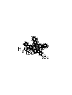 CC(C)(C)c1ccc2c(c1)c1cc(C(C)(C)C)cc3c1n2-c1c(c(-c2cc4ccccc4cc2Nc2ccc4c(c2)-c2ccccc2C4(C)C)cc2c1oc1ccccc12)B3